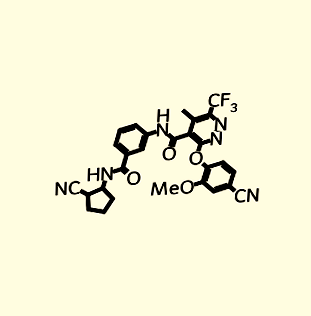 COc1cc(C#N)ccc1Oc1nnc(C(F)(F)F)c(C)c1C(=O)Nc1cccc(C(=O)NC2CCCC2C#N)c1